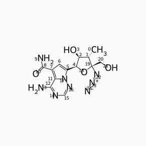 C[C@H]1[C@H](O)[C@H](c2cc(C(N)=O)c3c(N)ncnn23)O[C@@]1(CO)N=[N+]=[N-]